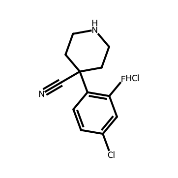 Cl.N#CC1(c2ccc(Cl)cc2F)CCNCC1